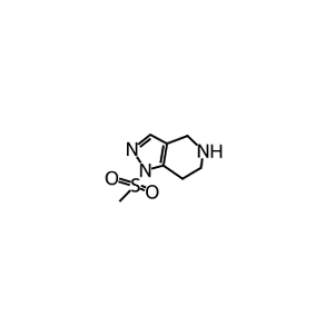 CS(=O)(=O)n1ncc2c1CCNC2